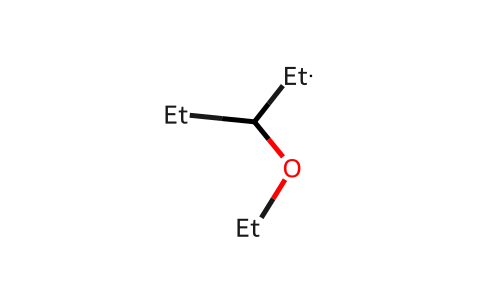 C[CH]C(CC)OCC